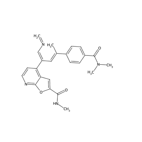 C=N/C=C(\C=C(/C)c1ccc(C(=O)N(C)C)cc1)c1ccnc2oc(C(=O)NC)cc12